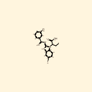 CCC(C(=O)O)n1c(=NC(=O)c2cccc(Cl)c2)sc2cc(F)ccc21